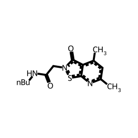 CCCCNC(=O)Cn1sc2nc(C)cc(C)c2c1=O